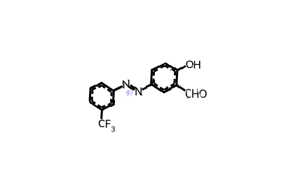 O=Cc1cc(/N=N/c2cccc(C(F)(F)F)c2)ccc1O